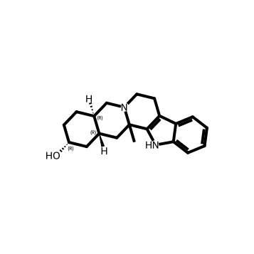 CC12C[C@@H]3C[C@H](O)CC[C@H]3CN1CCc1c2[nH]c2ccccc12